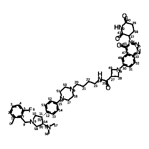 Cc1cccc(F)c1CN1C[C@H](c2ccc(N3CCN(CCCCNC(=O)C4CN(c5ccc6nnn(C7CCC(=O)NC7=O)c(=O)c6c5)C4)CC3)cc2)[C@@H](N(C)C)C1